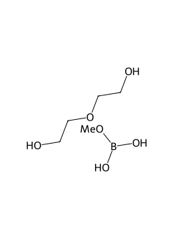 COB(O)O.OCCOCCO